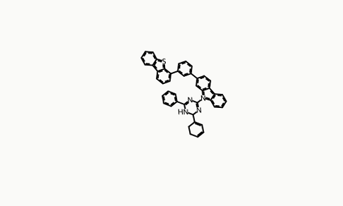 C1=CCCC(C2N=C(n3c4ccccc4c4ccc(-c5cccc(-c6cccc7c6sc6ccccc67)c5)cc43)N=C(c3ccccc3)N2)=C1